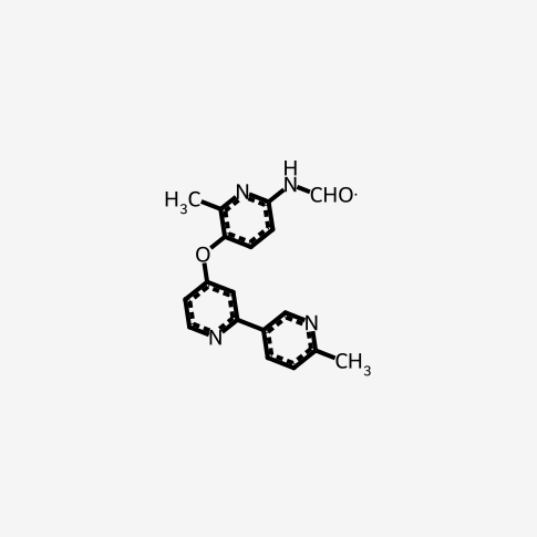 Cc1ccc(-c2cc(Oc3ccc(N[C]=O)nc3C)ccn2)cn1